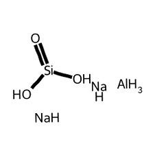 O=[Si](O)O.[AlH3].[NaH].[NaH]